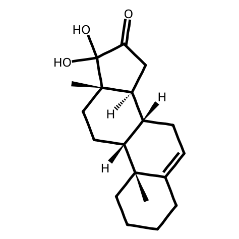 C[C@]12CCCCC1=CC[C@@H]1[C@H]2CC[C@@]2(C)[C@H]1CC(=O)C2(O)O